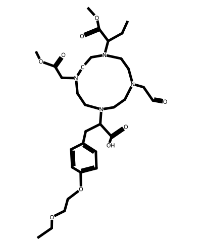 CCOCCOc1ccc(CC(C(=O)O)N2CCN(CC=O)CCN(C(CC)C(=O)OC)CCN(CC(=O)OC)CC2)cc1